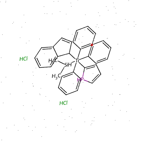 C[SiH](C)[Ti]([c]1ccccc1)([c]1ccccc1)([c]1ccccc1)([c]1ccc[pH]1)[CH]1C=Cc2ccccc21.Cl.Cl